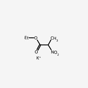 CCOC(=O)C(C)[N+](=O)[O-].[K+]